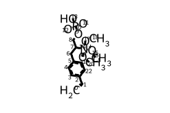 C=Cc1ccc(CC(COP(=O)([O-])O)[N+](OC)(OC)OC)cc1